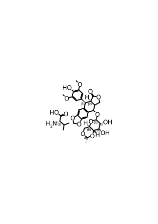 CC(C)[C@H](N)C(=O)O.COc1cc([C@@H]2c3cc4c(cc3C(O[C@@H]3O[C@@H]5CO[C@@H](C)O[C@H]5[C@H](O)[C@H]3O)C3COC(=O)[C@@H]32)OCO4)cc(OC)c1O